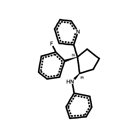 Fc1ccccc1[C@@]1(c2ccccn2)CCC[C@H]1Nc1ccccc1